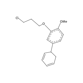 COc1ccc([C]2C=CC=CC2)cc1OCCCCl